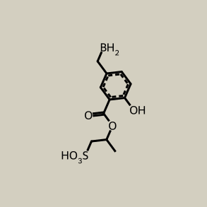 BCc1ccc(O)c(C(=O)OC(C)CS(=O)(=O)O)c1